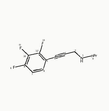 CCCNCC#Cc1ccc(F)c(F)c1F